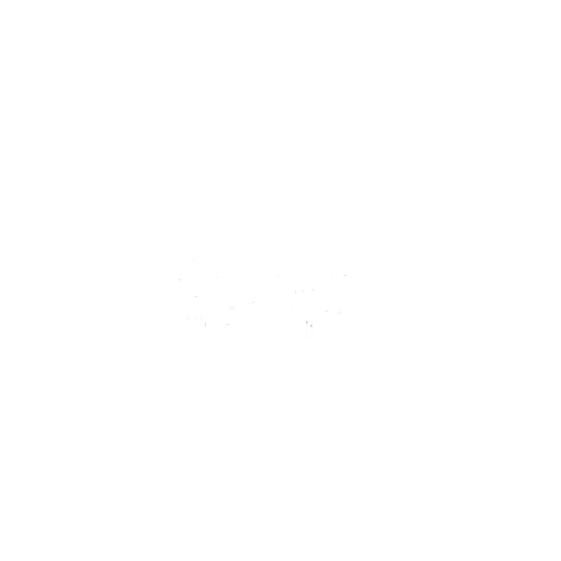 Cc1ccccc1C(=O)c1ccc2c(c1)[nH]c1ccccc12